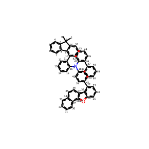 CC1(C)c2ccccc2-c2c(-c3ccccc3N(c3ccc(-c4cccc5oc6c7ccccc7ccc6c45)cc3)c3ccccc3-c3ccccc3)cccc21